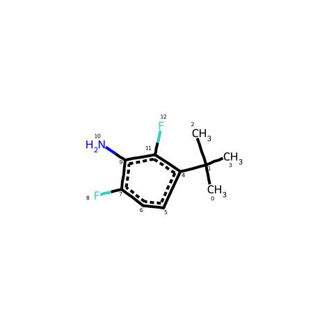 CC(C)(C)c1ccc(F)c(N)c1F